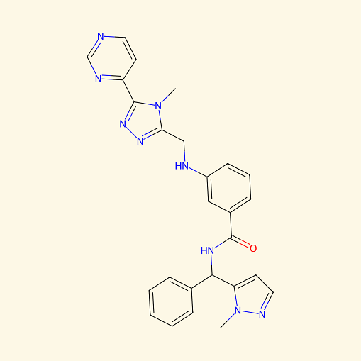 Cn1nccc1C(NC(=O)c1cccc(NCc2nnc(-c3ccncn3)n2C)c1)c1ccccc1